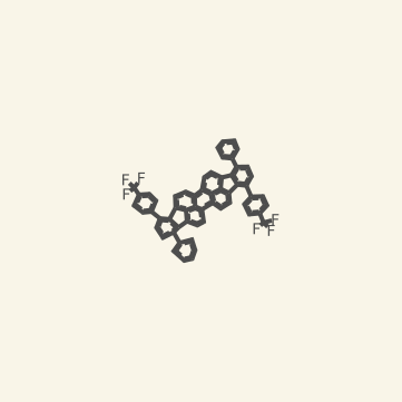 FC(F)(F)c1ccc(-c2ccc(-c3ccccc3)c3c2-c2ccc4c5ccc6c7c(ccc(c8ccc-3c2c84)c75)-c2c(-c3ccc(C(F)(F)F)cc3)ccc(-c3ccccc3)c2-6)cc1